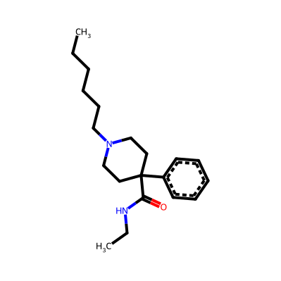 CCCCCCN1CCC(C(=O)NCC)(c2ccccc2)CC1